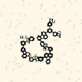 Cn1c(-c2cccc(-c3ccc4c(c3)-c3ccc(-c5cccc(-c6nc7ccc(-c8ccc9c(-c%10cccc(-c%11nc%12cc(-c%13cccc%14c%13-c%13cccc%15c(-c%16cc(-c%17ccc%18ncoc%18c%17)cc(-c%17ccc%18ncoc%18c%17)c%16)ccc-%14c%13%15)ccc%12n%11C)c%10)ccc%10c9c8-c8ccccc8-%10)cc7n6C)c5)c5cccc-4c35)c2)nc2ccccc21